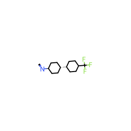 C=N[C@H]1CC[C@H](C2CCC(C(F)(F)F)CC2)CC1